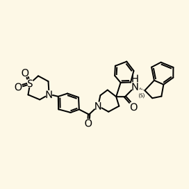 O=C(c1ccc(N2CCS(=O)(=O)CC2)cc1)N1CCC(C(=O)N[C@H]2CCc3ccccc32)(c2ccccc2)CC1